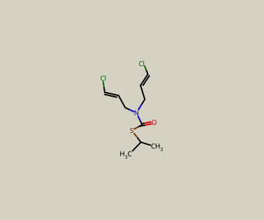 CC(C)SC(=O)N(CC=CCl)CC=CCl